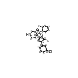 Cc1ccccc1S(=O)(=O)C1(c2nc(C)c(-c3cccc(Cl)c3)s2)CCNCC1